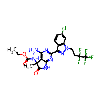 CCOC(=O)NC1(C)C(=O)Nc2nc(-c3nn(CCC(F)(F)C(F)(F)F)c4cc(Cl)ccc34)nc(N)c21